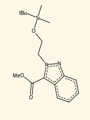 COC(=O)c1c2ccccc2nn1CCO[Si](C)(C)C(C)(C)C